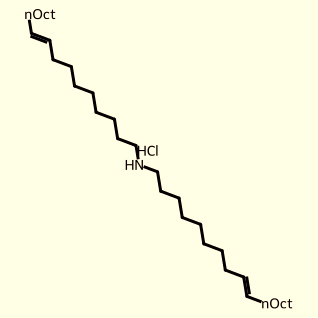 CCCCCCCCC=CCCCCCCCCNCCCCCCCCC=CCCCCCCCC.Cl